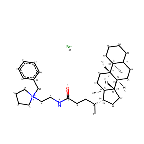 CC(CCC(=O)NCC[N+]1(Cc2ccccc2)CCCC1)[C@H]1CC[C@H]2[C@@H]3CCC4CCCC[C@]4(C)[C@H]3CC[C@]12C.[Br-]